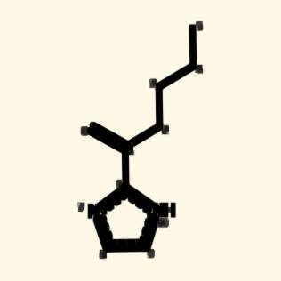 C=C(CCCC)c1ncc[nH]1